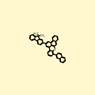 CC1(C)c2ccccc2-c2ccc(-c3cc4c5c(cc6ccccc6c5c3)Oc3c(-c5ccc6ccccc6c5)cccc3-4)cc21